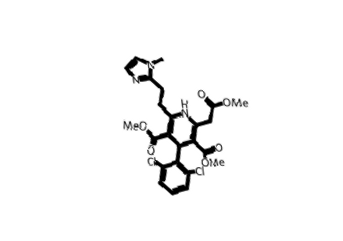 COC(=O)CC1=C(C(=O)OC)C(c2c(Cl)cccc2Cl)C(C(=O)OC)=C(CCc2nccn2C)N1